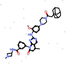 COc1cc(N2CCN(C(=O)CC34CC5CC(CC(C5)C3)C4)CC2)ccc1Nc1ncc2c(C)cc(=O)n(-c3cccc(C(=O)NC4CN(C)C4)c3)c2n1